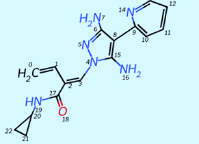 C=C/C(=C\n1nc(N)c(-c2ccccn2)c1N)C(=O)NC1CC1